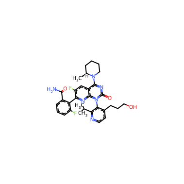 CC(C)c1nccc(CCCO)c1-n1c(=O)nc(N2CCCC[C@@H]2C)c2cc(F)c(-c3c(F)cccc3C(N)=O)nc21